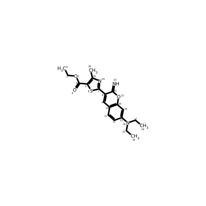 CCOC(=O)c1sc(-c2cc3ccc(N(CC)CC)cc3oc2=N)nc1C